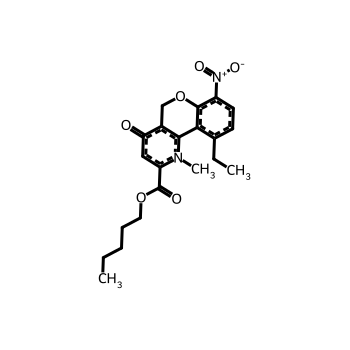 CCCCCOC(=O)c1cc(=O)c2c(n1C)-c1c(CC)ccc([N+](=O)[O-])c1OC2